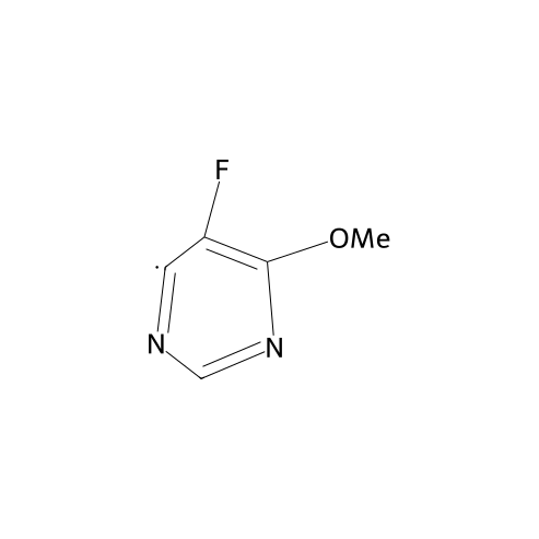 COc1ncn[c]c1F